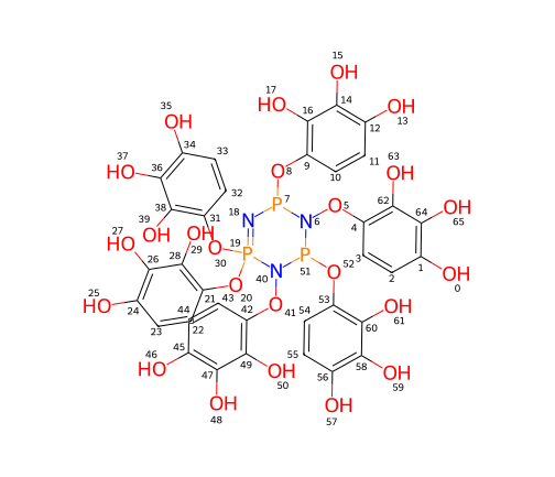 Oc1ccc(ON2P(Oc3ccc(O)c(O)c3O)N=P(Oc3ccc(O)c(O)c3O)(Oc3ccc(O)c(O)c3O)N(Oc3ccc(O)c(O)c3O)P2Oc2ccc(O)c(O)c2O)c(O)c1O